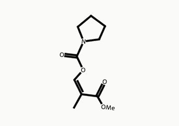 COC(=O)C(C)=COC(=O)N1CCCC1